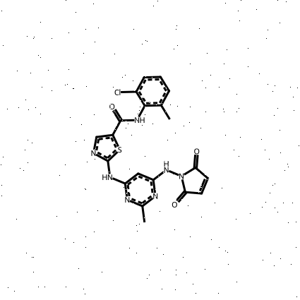 Cc1nc(Nc2ncc(C(=O)Nc3c(C)cccc3Cl)s2)cc(NN2C(=O)C=CC2=O)n1